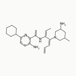 C=C/C=C(\C(=C/C)NC(=C)c1nc(C2CCCCC2)ccc1N)N1CC(C)CC(N)C1